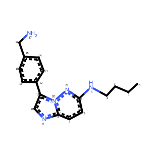 CCCCNc1ccc2ncc(-c3ccc(CN)cc3)n2n1